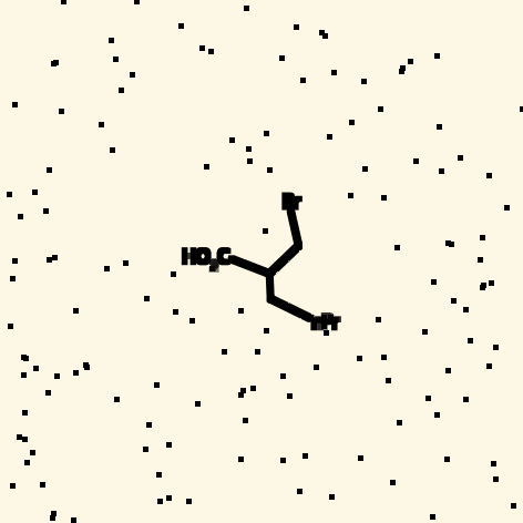 CCCCC(CBr)C(=O)O